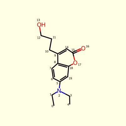 CCN(CC)c1ccc2c(CCCO)cc(=O)oc2c1